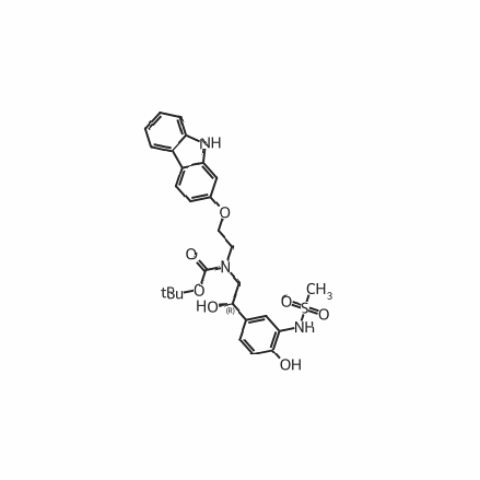 CC(C)(C)OC(=O)N(CCOc1ccc2c(c1)[nH]c1ccccc12)C[C@H](O)c1ccc(O)c(NS(C)(=O)=O)c1